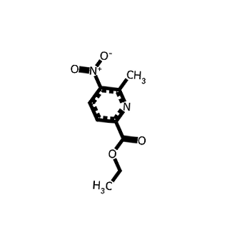 CCOC(=O)c1ccc([N+](=O)[O-])c(C)n1